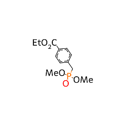 CCOC(=O)c1ccc(CP(=O)(OC)OC)cc1